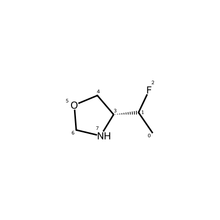 CC(F)[C@H]1COCN1